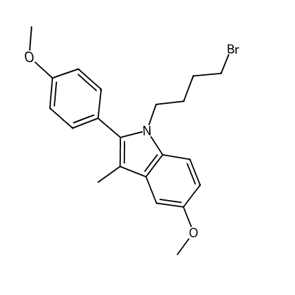 COc1ccc(-c2c(C)c3cc(OC)ccc3n2CCCCBr)cc1